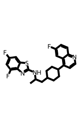 CC(CC1CCC(c2ccnc3ccc(F)cc23)CC1)Nc1nc2c(F)cc(F)cc2s1